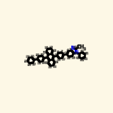 Cc1nc2cc(-c3ccc(-c4c5ccccc5c(-c5ccc(-c6ccccc6)cc5)c5ccccc45)cc3)ccc2n1-c1ccccc1